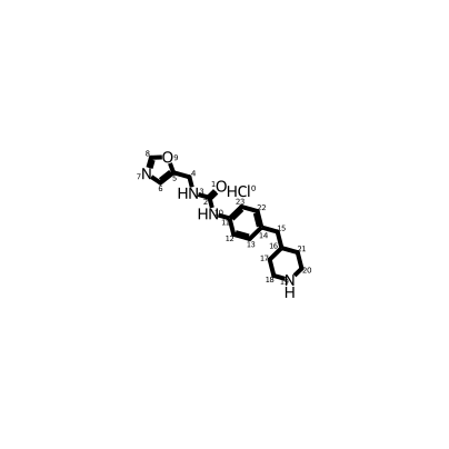 Cl.O=C(NCc1cnco1)Nc1ccc(CC2CCNCC2)cc1